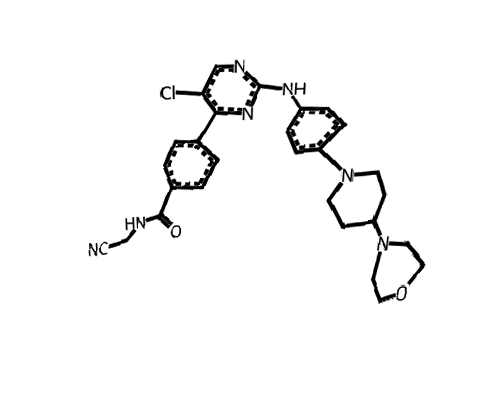 N#CCNC(=O)c1ccc(-c2nc(Nc3ccc(N4CCC(N5CCOCC5)CC4)cc3)ncc2Cl)cc1